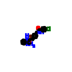 Nc1ccccc1NC(=O)c1cc2ccc(CNC(=O)c3ccc(Cl)cc3)cc2s1